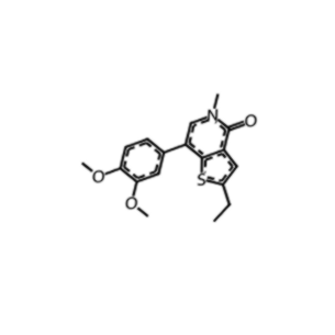 CCc1cc2c(=O)n(C)cc(-c3ccc(OC)c(OC)c3)c2s1